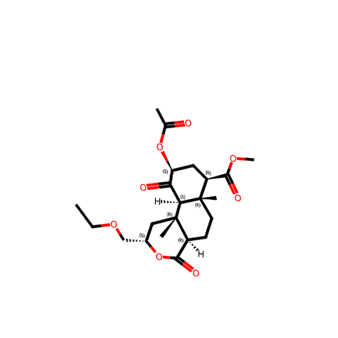 CCOC[C@@H]1C[C@]2(C)[C@H]3C(=O)[C@@H](OC(C)=O)C[C@@H](C(=O)OC)[C@]3(C)CC[C@H]2C(=O)O1